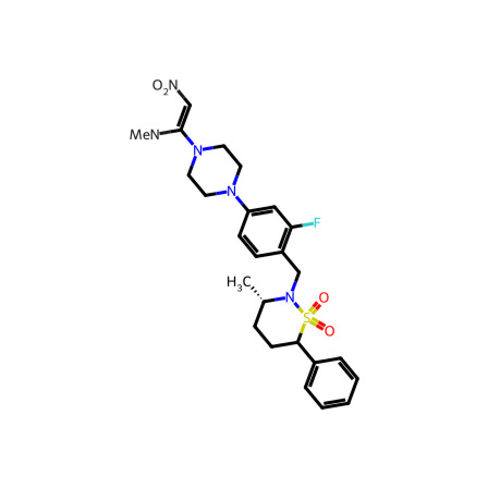 CN/C(=C\[N+](=O)[O-])N1CCN(c2ccc(CN3[C@@H](C)CCC(c4ccccc4)S3(=O)=O)c(F)c2)CC1